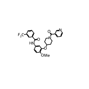 COc1ccc(NC(=O)c2cccc(C(F)(F)F)c2)cc1OC1CCN(C(=O)c2cccnc2)CC1